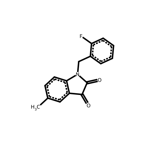 Cc1ccc2c(c1)C(=O)C(=O)N2Cc1ccccc1F